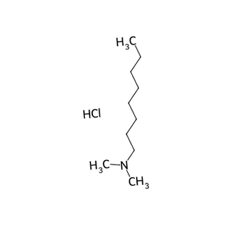 CCCCCCCCN(C)C.Cl